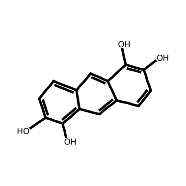 Oc1ccc2cc3c(O)c(O)ccc3cc2c1O